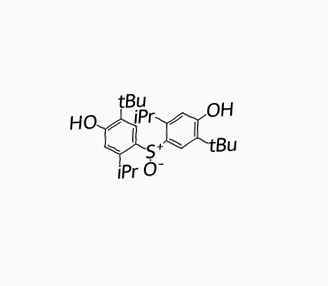 CC(C)c1cc(O)c(C(C)(C)C)cc1[S+]([O-])c1cc(C(C)(C)C)c(O)cc1C(C)C